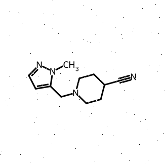 Cn1nccc1CN1CCC(C#N)CC1